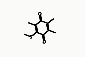 CSC1=C(C)C(=O)C(C)=C(C)C1=O